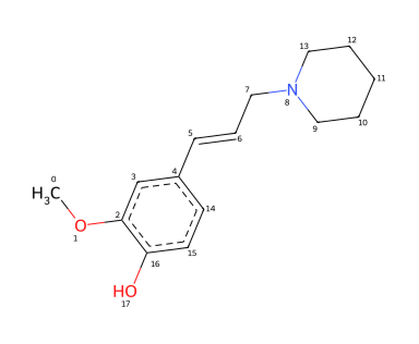 COc1cc(C=CCN2CCCCC2)ccc1O